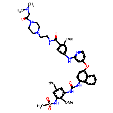 COc1cc(Nc2cc(Oc3ccc(NC(=O)Nc4cc(C(C)(C)C)cc(NS(C)(=O)=O)c4OC)c4ccccc34)ccn2)ccc1C(=O)NCCN1CCN(C(=O)CN(C)C)CC1